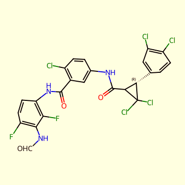 O=CNc1c(F)ccc(NC(=O)c2cc(NC(=O)C3[C@H](c4ccc(Cl)c(Cl)c4)C3(Cl)Cl)ccc2Cl)c1F